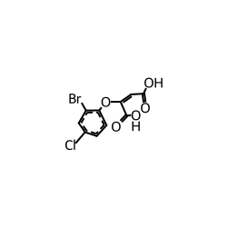 O=C(O)C=C(Oc1ccc(Cl)cc1Br)C(=O)O